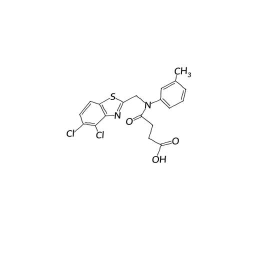 Cc1cccc(N(Cc2nc3c(Cl)c(Cl)ccc3s2)C(=O)CCC(=O)O)c1